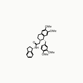 COc1ccc(C[C@H]2c3cc(OC)c(OC)cc3CCN2CC(=O)N[C@H]2CCc3ccccc32)cc1OC